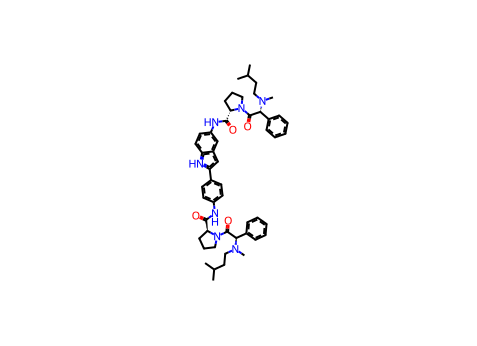 CC(C)CCN(C)[C@@H](C(=O)N1CCC[C@H]1C(=O)Nc1ccc(-c2cc3cc(NC(=O)[C@@H]4CCCN4C(=O)[C@@H](c4ccccc4)N(C)CCC(C)C)ccc3[nH]2)cc1)c1ccccc1